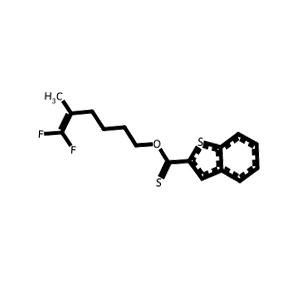 CC(CCCCOC(=S)c1cc2ccccc2s1)=C(F)F